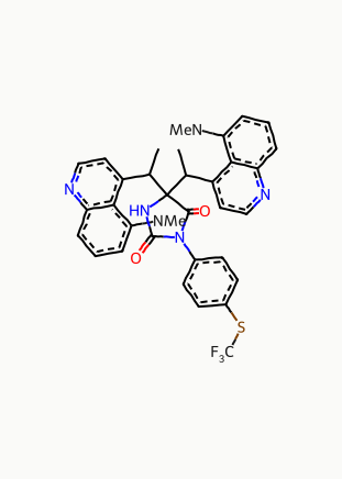 CNc1cccc2nccc(C(C)C3(C(C)c4ccnc5cccc(NC)c45)NC(=O)N(c4ccc(SC(F)(F)F)cc4)C3=O)c12